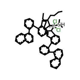 CCCCC1=Cc2c(-c3ccccc3-c3cccc4ccccc34)cccc2[CH]1[Hf]([Cl])([Cl])([CH]1C(CCCC)=Cc2c(-c3ccccc3-c3cccc4ccccc34)cccc21)[SiH](C)C